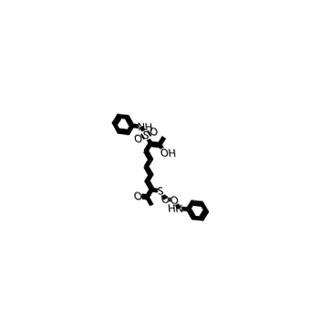 CC(=O)C(=CC=CC=C/C(=C(/C)O)S(=O)(=O)Nc1ccccc1)SOONc1ccccc1